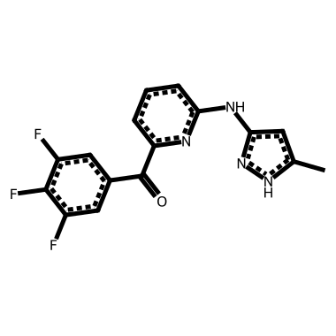 Cc1cc(Nc2cccc(C(=O)c3cc(F)c(F)c(F)c3)n2)n[nH]1